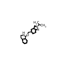 CC(C)n1cc2cc(COC3NCCc4ccccc43)ccc2n1